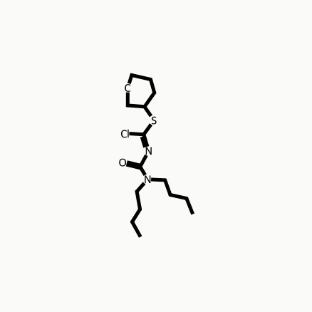 CCCCN(CCCC)C(=O)/N=C(\Cl)SC1CCCCC1